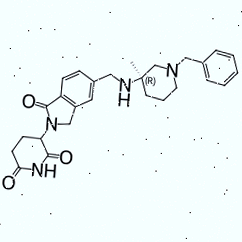 C[C@@]1(NCc2ccc3c(c2)CN(C2CCC(=O)NC2=O)C3=O)CCCN(Cc2ccccc2)C1